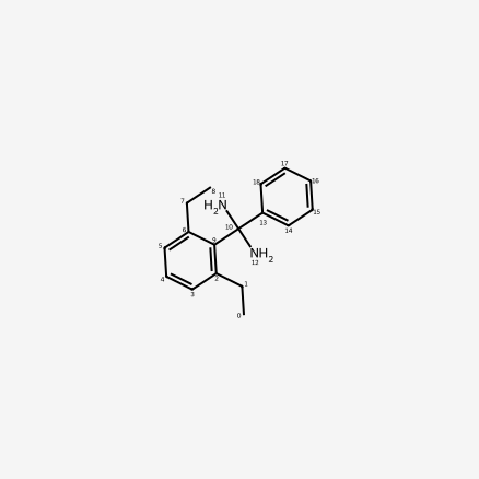 CCc1cccc(CC)c1C(N)(N)c1ccccc1